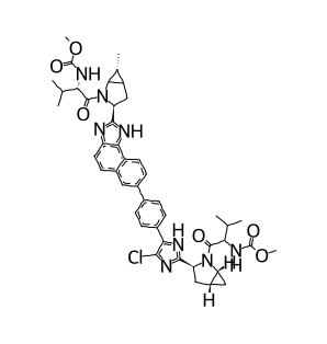 COC(=O)NC(C(=O)N1[C@@H]2C[C@@H]2C[C@H]1c1nc(Cl)c(-c2ccc(-c3ccc4c(ccc5nc([C@@H]6CC7C([C@@H]7C)N6C(=O)[C@@H](NC(=O)OC)C(C)C)[nH]c54)c3)cc2)[nH]1)C(C)C